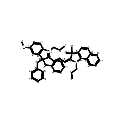 CCCN1/C(=C/C=C/C2=[N+](CCC)c3ccc(OC)cc3C2(Cc2ccccc2)Cc2ccccc2)C(C)(C)c2ccc3ccccc3c21